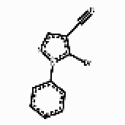 N#Cc1cnn(-c2ccccc2)c1Br